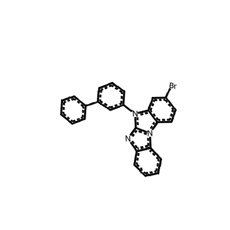 Brc1ccc2c(c1)n(-c1cccc(-c3ccccc3)c1)c1nc3ccccc3n21